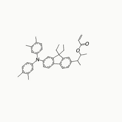 C=CC(=O)OC(C)C(C)c1ccc2c(c1)C(CC)(CC)c1cc(N(c3ccc(C)c(C)c3)c3ccc(C)c(C)c3)ccc1-2